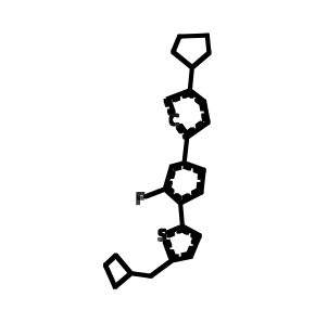 Fc1cc(-c2ccc(C3CCCC3)cc2)ccc1-c1ccc(CC2CCC2)s1